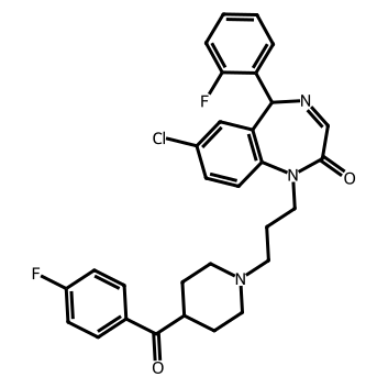 O=C(c1ccc(F)cc1)C1CCN(CCCN2C(=O)C=NC(c3ccccc3F)c3cc(Cl)ccc32)CC1